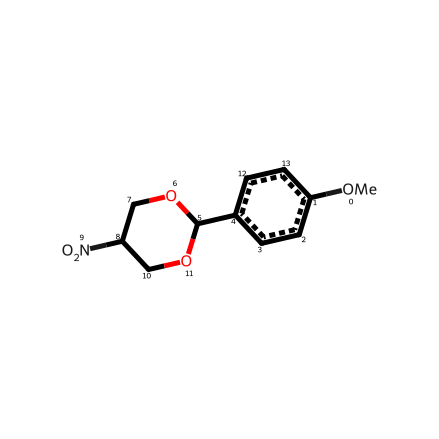 COc1ccc(C2OCC([N+](=O)[O-])CO2)cc1